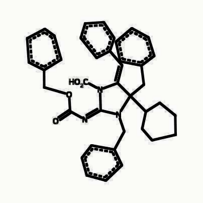 O=C(N=C1N(C(=O)O)C(=Cc2ccccc2)C(Cc2ccccc2)(C2CCCCC2)N1Cc1ccccc1)OCc1ccccc1